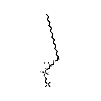 CCCCCCCCCCCCCCC/C=C\OC[C@@H](O)COP(=O)([O-])OCC[N+](C)(C)C